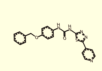 O=C(Nc1ccc(OCc2ccccc2)cc1)Nc1nnc(-c2ccncc2)s1